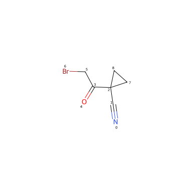 N#CC1(C(=O)CBr)CC1